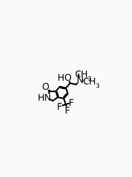 CN(C)CC(O)c1cc2c(c(C(F)(F)F)c1)CNC2=O